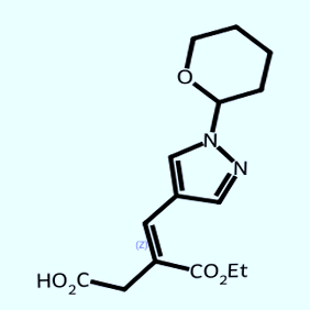 CCOC(=O)/C(=C\c1cnn(C2CCCCO2)c1)CC(=O)O